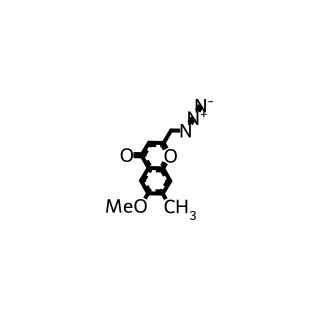 COc1cc2c(=O)cc(CN=[N+]=[N-])oc2cc1C